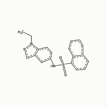 CCn1ncc2cc(NS(=O)(=O)c3cccc4ccccc34)ccc21